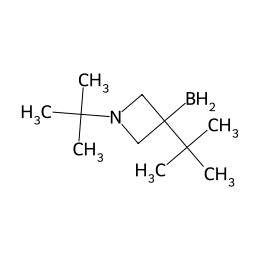 BC1(C(C)(C)C)CN(C(C)(C)C)C1